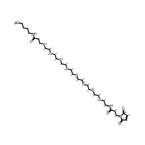 CC(C)(C)CCCCNC(=O)CCOCCOCCOCCOCCOCCOCCOCCOCCNC(=O)CCN1C(=O)C=CC1=O